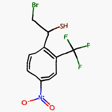 O=[N+]([O-])c1ccc(C(S)CBr)c(C(F)(F)F)c1